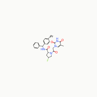 Cc1cn(CC(=O)N2CC(F)CC2C(=O)NC(c2ccccc2)c2ccc(C(C)C)cc2)c(=O)[nH]c1=O